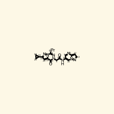 CC(C)c1nn(CC(=O)Nc2cnc3ccnn3c2)c(=O)c2cc(C3CC3)nn12